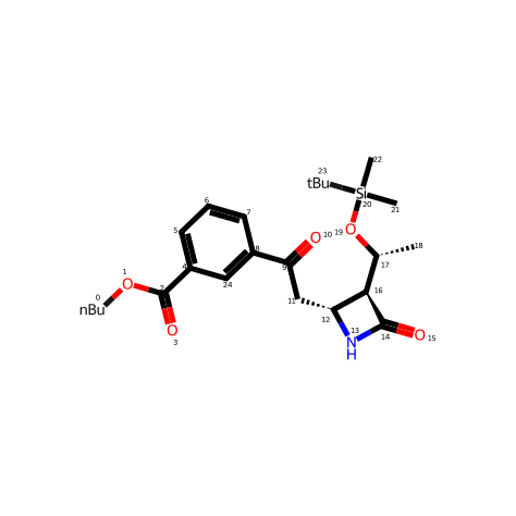 CCCCOC(=O)c1cccc(C(=O)C[C@H]2NC(=O)[C@@H]2[C@@H](C)O[Si](C)(C)C(C)(C)C)c1